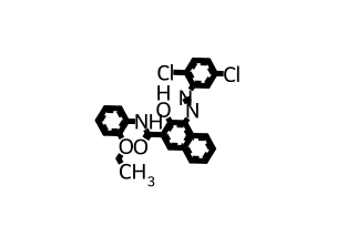 CCOc1ccccc1NC(=O)c1cc2ccccc2c(N=Nc2cc(Cl)ccc2Cl)c1O